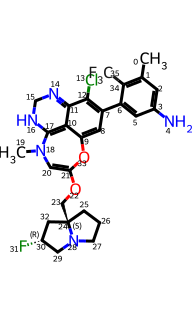 Cc1cc(N)cc(-c2cc3c4c(c2Cl)=NCNC=4N(C)C=C(OC[C@@]24CCCN2C[C@H](F)C4)O3)c1C(F)(F)F